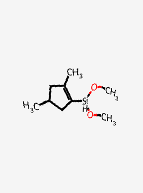 CO[SiH](OC)C1=C(C)CC(C)C1